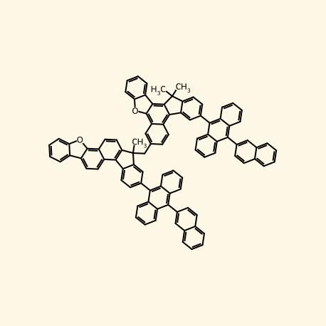 CC1(C)c2ccc(-c3c4ccccc4c(-c4ccc5ccccc5c4)c4ccccc34)cc2-c2c1c1c3ccccc3oc1c1cc(CC3(C)c4cc(-c5c6ccccc6c(-c6ccc7ccccc7c6)c6ccccc56)ccc4-c4c3ccc3c4ccc4c5ccccc5oc34)ccc21